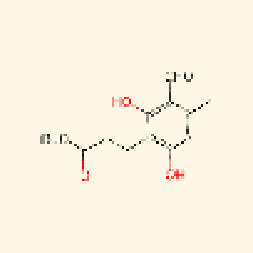 Cc1cc(O)c(CCC(=O)OCC(C)C)c(O)c1C=O